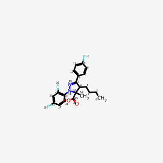 CCCCC1C(c2ccc(F)cc2)=NN(c2ccc(F)cc2F)C1(C)C(=O)O